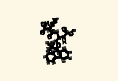 COC(=O)NC(CO[Si](c1ccccc1)(c1ccccc1)C(C)(C)C)CC(=O)C(=[N+]=[N-])C(=O)O